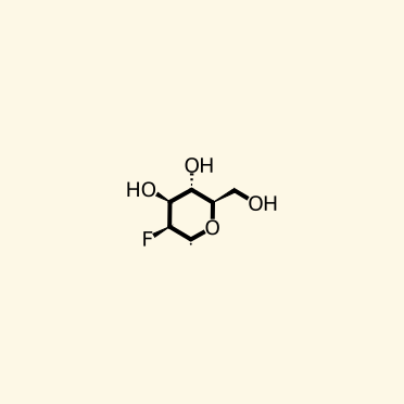 OC[C@H]1O[CH][C@@H](F)[C@@H](O)[C@@H]1O